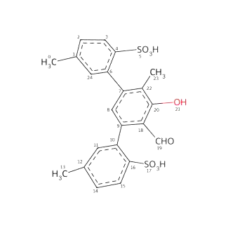 Cc1ccc(S(=O)(=O)O)c(-c2cc(-c3cc(C)ccc3S(=O)(=O)O)c(C=O)c(O)c2C)c1